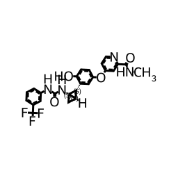 CNC(=O)c1cc(Oc2ccc(O)c([C@@H]3[C@@H]4C[C@@]34NC(=O)Nc3cccc(C(F)(F)F)c3)c2)ccn1